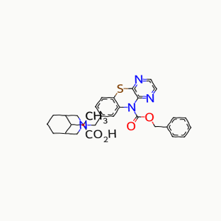 CC(C(=O)O)C1C2CCCC1CN(Cc1ccc3c(c1)N(C(=O)OCc1ccccc1)c1nccnc1S3)C2